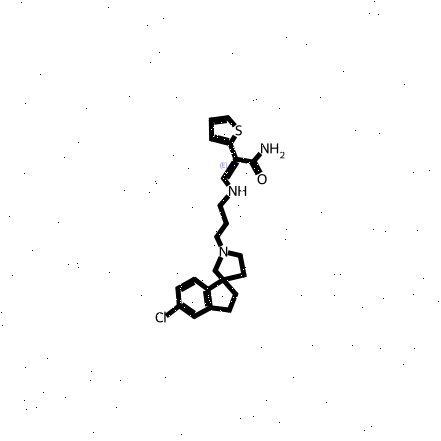 NC(=O)/C(=C\NCCCN1CCC2(CCc3cc(Cl)ccc32)C1)c1cccs1